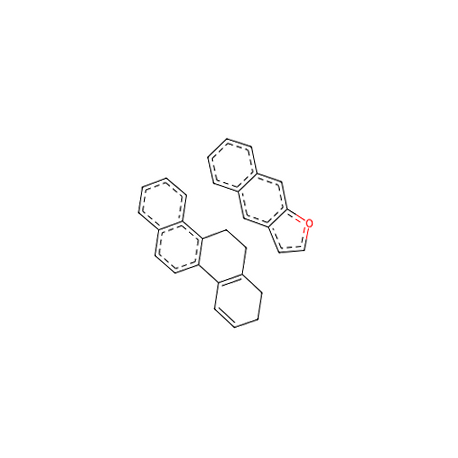 C1=CC2=C(CC1)CCc1c2ccc2ccccc12.c1ccc2cc3occc3cc2c1